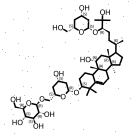 C[C@H](CC[C@@H](O[C@H]1C[C@@H](O)C[C@@H](CO)O1)C(C)(C)O)C1CC[C@@]2(C)C3CC=C4C(CC[C@H](O[C@H]5C[C@@H](O)C[C@@H](CO[C@@H]6O[C@H](CO)[C@@H](O)[C@H](O)[C@H]6O)O5)C4(C)C)[C@]3(C)[C@H](O)C[C@]12C